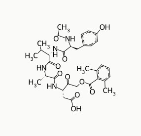 CC(=O)N[C@@H](Cc1ccc(O)cc1)C(=O)N[C@H](C(=O)N[C@@H](C)C(=O)N[C@@H](CC(=O)O)C(=O)COC(=O)c1c(C)cccc1C)C(C)C